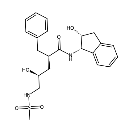 CS(=O)(=O)NC[C@@H](O)C[C@@H](Cc1ccccc1)C(=O)N[C@H]1c2ccccc2C[C@H]1O